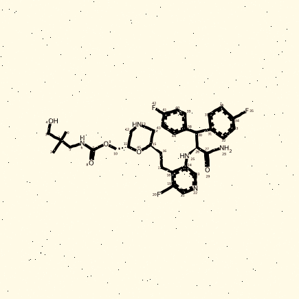 CC(C)(CO)CNC(=O)OC[C@@H]1CNC[C@@H](CCc2c(F)cncc2N[C@H](C(N)=O)C(c2ccc(F)cc2)c2ccc(F)cc2)O1